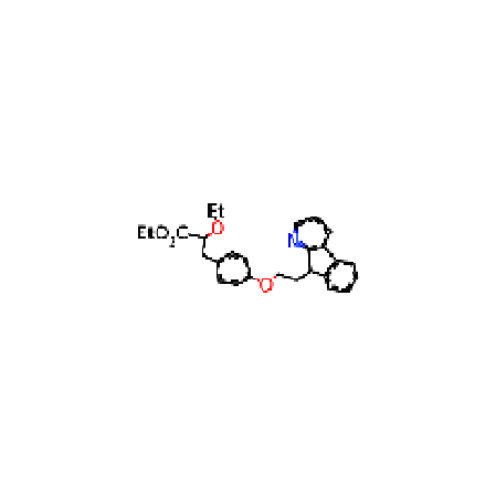 CCOC(=O)C(Cc1ccc(OCCC2c3ccccc3-c3cccnc32)cc1)OCC